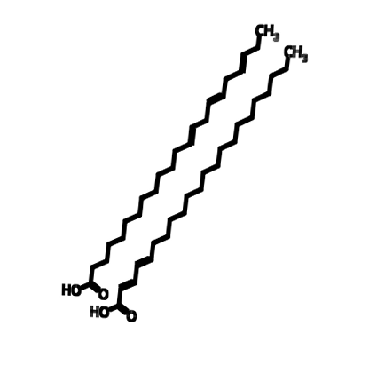 CCC=CCC=CCC=CCCCCCCCCCCCC(=O)O.CCCCCCCCCCCCCCCCCC=CC=CC(=O)O